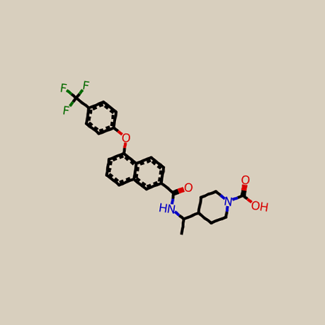 CC(NC(=O)c1ccc2c(Oc3ccc(C(F)(F)F)cc3)cccc2c1)C1CCN(C(=O)O)CC1